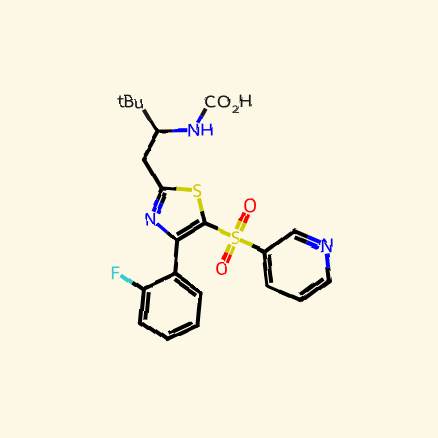 CC(C)(C)C(Cc1nc(-c2ccccc2F)c(S(=O)(=O)c2cccnc2)s1)NC(=O)O